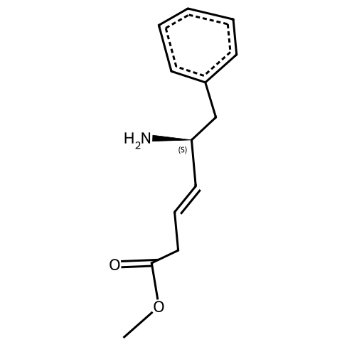 COC(=O)CC=C[C@@H](N)Cc1ccccc1